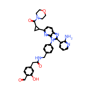 Nc1ncccc1-c1nc2ccc(C3CC3C(=O)N3CCOCC3)nc2n1-c1ccc(CNC(=O)Cc2ccc(C=O)c(O)c2)cc1